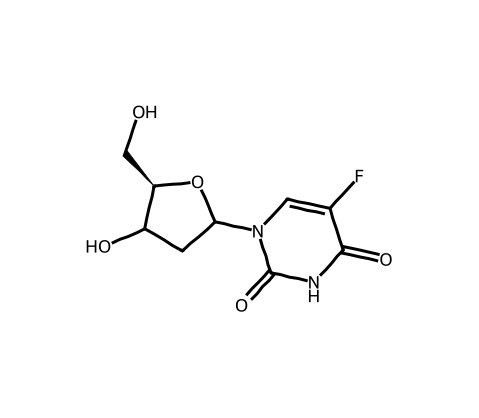 O=c1[nH]c(=O)n(C2CC(O)[C@@H](CO)O2)cc1F